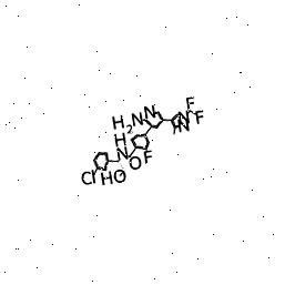 Cc1nn(C(F)F)cc1-c1cnc(N)c(-c2ccc(C(=O)N[C@H](CO)c3cccc(Cl)c3)c(F)c2)c1